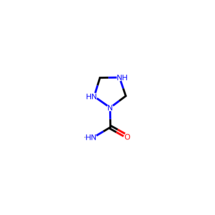 [NH]C(=O)N1CNCN1